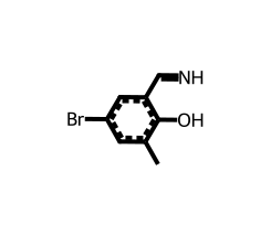 Cc1cc(Br)cc(C=N)c1O